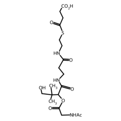 CC(=O)NCC(=O)OC(C(=O)NCCC(=O)NCCSC(=O)CCC(=O)O)C(C)(C)CO